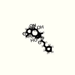 CC1=C2C(O)C(=O)C3(C)C(O)CC4OC[C@H]4C3CC(O)(C[C@@H]1OC(=O)CCc1ccccc1)C2(C)C